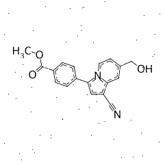 COC(=O)c1ccc(-c2cc(C#N)c3cc(CO)ccn23)cc1